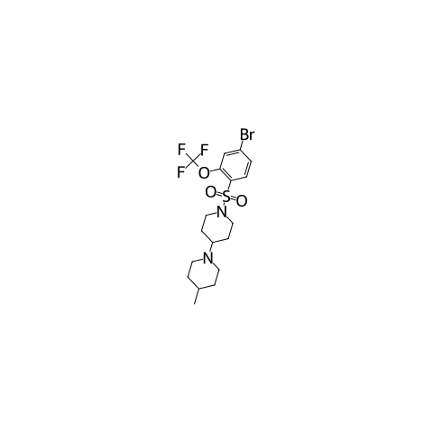 CC1CCN(C2CCN(S(=O)(=O)c3ccc(Br)cc3OC(F)(F)F)CC2)CC1